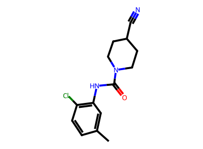 Cc1ccc(Cl)c(NC(=O)N2CCC(C#N)CC2)c1